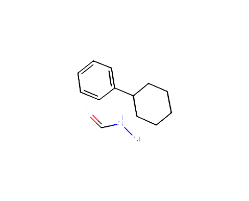 NNC=O.c1ccc(C2CCCCC2)cc1